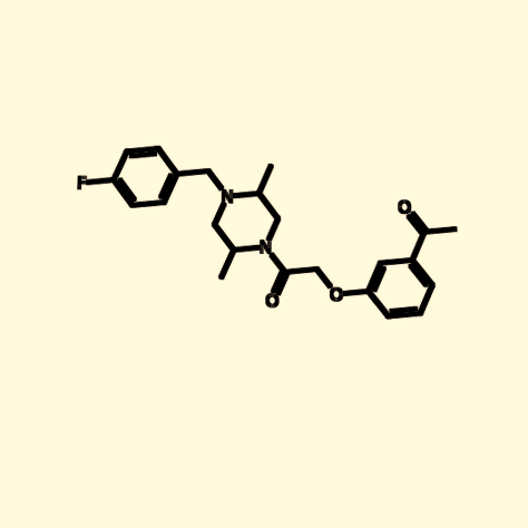 CC(=O)c1cccc(OCC(=O)N2CC(C)N(Cc3ccc(F)cc3)CC2C)c1